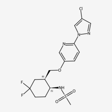 CS(=O)(=O)N[C@H]1CCC(F)(F)C[C@H]1COc1ccc(-n2cc(Cl)cn2)nc1